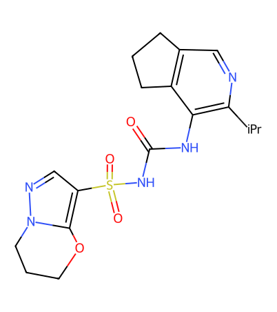 CC(C)c1ncc2c(c1NC(=O)NS(=O)(=O)c1cnn3c1OCCC3)CCC2